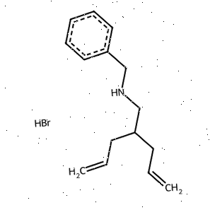 Br.C=CCC(CC=C)CNCc1ccccc1